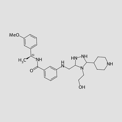 COc1cccc([C@H](C)NC(=O)c2cccc(NCC3NNC(C4CCNCC4)N3CCO)c2)c1